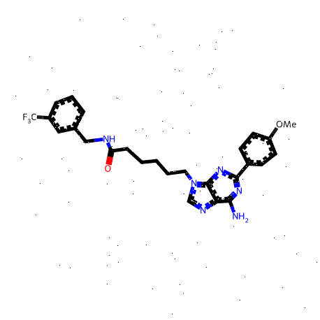 COc1ccc(-c2nc(N)c3ncn(CCCCCC(=O)NCc4cccc(C(F)(F)F)c4)c3n2)cc1